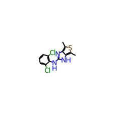 Cc1sc(C)c2[nH]c(Nc3c(Cl)cccc3Cl)nc12